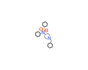 O=S(=O)(c1ccccc1)N(c1ccccc1)C1CCN(Cc2ccccc2)CC1